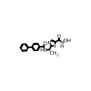 C[C@H](NC(=O)c1ccc(-c2ccccc2)cc1)c1ncc(C(=O)NO)s1